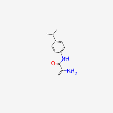 C=C(N)C(=O)Nc1ccc(C(C)C)cc1